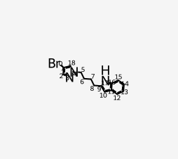 Brc1cnn(CCCCc2cc3ccccc3[nH]2)c1